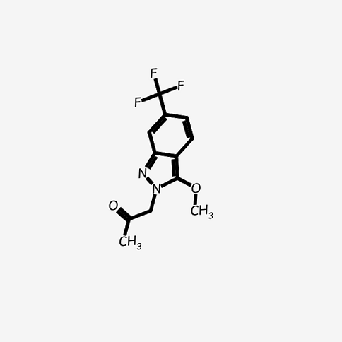 COc1c2ccc(C(F)(F)F)cc2nn1CC(C)=O